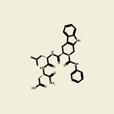 CC(C)C[C@H](NC(=O)[C@H]1Cc2c([nH]c3ccccc23)CN1C(=O)Nc1ccccc1)C(=O)N[C@@H](CC(=O)O)C(N)=O